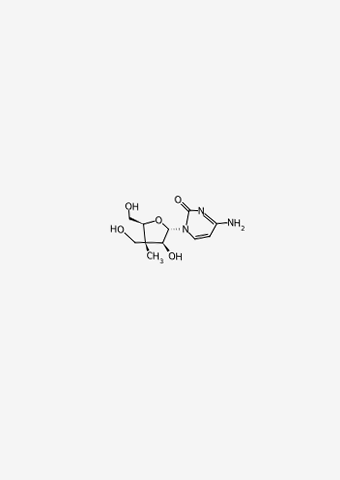 C[C@]1(CO)[C@H](O)[C@@H](n2ccc(N)nc2=O)O[C@@H]1CO